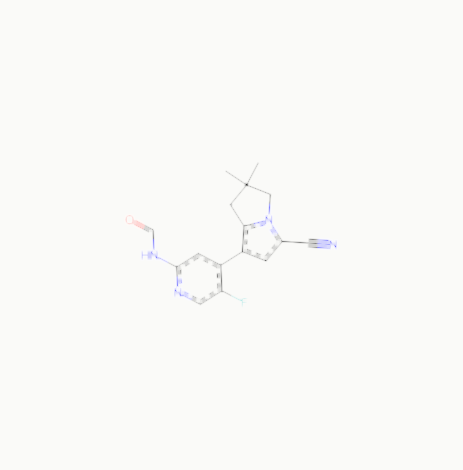 CC1(C)Cc2c(-c3cc(NC=O)ncc3F)cc(C#N)n2C1